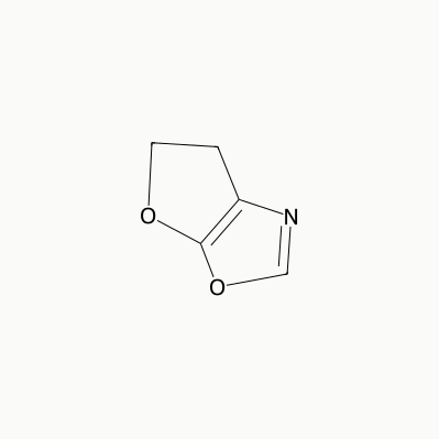 c1nc2c(o1)OCC2